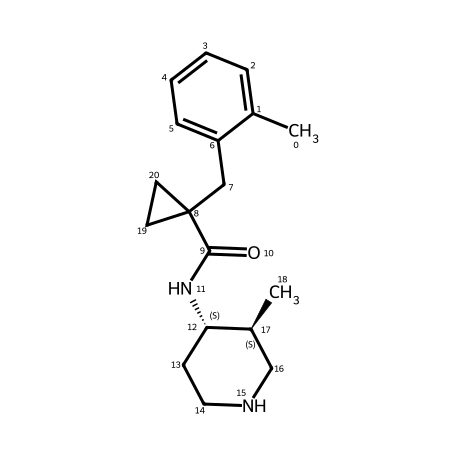 Cc1ccccc1CC1(C(=O)N[C@H]2CCNC[C@@H]2C)CC1